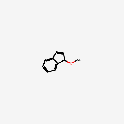 CC(C)(C)OC1C=Cc2ccccc21